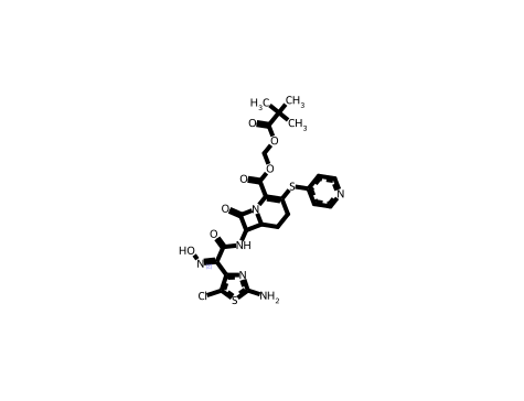 CC(C)(C)C(=O)OCOC(=O)C1=C(Sc2ccncc2)CCC2C(NC(=O)/C(=N\O)c3nc(N)sc3Cl)C(=O)N12